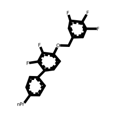 CCCc1ccc(-c2ccc(OCc3cc(F)c(F)c(F)c3)c(F)c2F)cc1